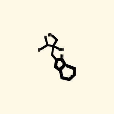 CC(C)CC(O)(Cc1cc2ccccc2[nH]1)C(F)F